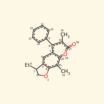 CCC1COc2c1cc1c(-c3ccccc3)c(C)c(=O)oc1c2C